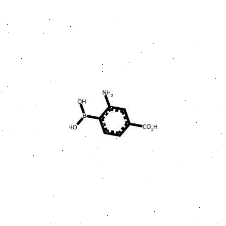 Nc1cc(C(=O)O)ccc1B(O)O